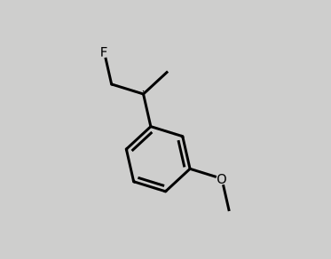 COc1cccc([C](C)CF)c1